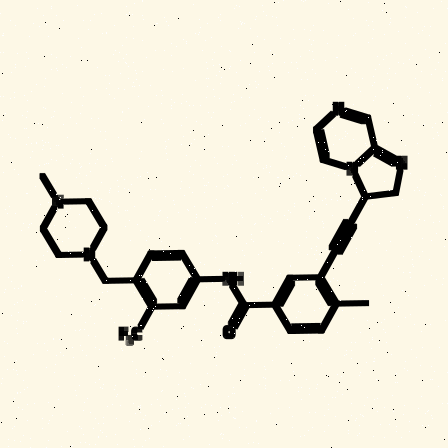 Cc1ccc(C(=O)Nc2ccc(CN3CCN(C)CC3)c(C(F)(F)F)c2)cc1C#CC1CN=C2C=NC=CN21